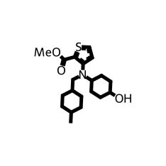 COC(=O)c1sccc1N(CC1CCC(C)CC1)C1CCC(O)CC1